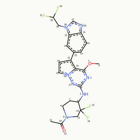 COc1nc(NC2CCN(C(C)=O)CC2(F)F)nn2ccc(-c3ccc4ncn(CC(F)F)c4c3)c12